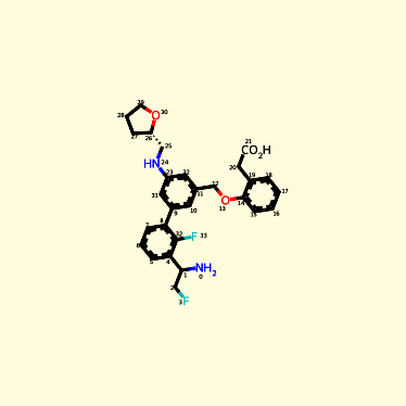 NC(CF)c1cccc(-c2cc(COc3ccccc3CC(=O)O)cc(NC[C@@H]3CCCO3)c2)c1F